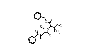 C=C(CCl)C(C(=O)OCc1ccccc1)N1C(=O)C(NC(=O)c2ccccc2)C1Cl